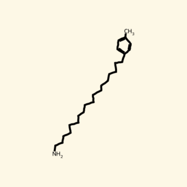 Cc1ccc(CCCCCCCCCCCCCCCCCCN)cc1